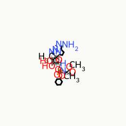 COC(=O)[C@H](C)N[P@](=O)(OC[C@H]1O[C@@](C#N)(c2ccc3c(N)ncnn23)[C@](C)(O)[C@@H]1O)Oc1ccccc1